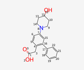 O=C(O)Cc1ccc(N2CCC(O)CC2)cc1-c1ccccc1